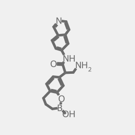 NCC(C(=O)Nc1ccc2cnccc2c1)c1ccc2c(c1)OB(O)CCC2